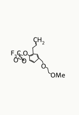 C=CCc1cc(COCCOC)ccc1OS(=O)(=O)C(F)(F)F